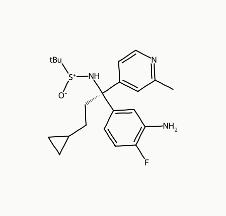 Cc1cc([C@](CCC2CC2)(N[S+]([O-])C(C)(C)C)c2ccc(F)c(N)c2)ccn1